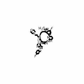 Cn1nc2c(F)ccc3c2c1CCCN(CCCN1CCOCC1)C(=O)[C@@H]1C[C@@H](CN1c1ncnc2c1cnn2-c1ccc(F)cc1F)Nc1cccc-3n1